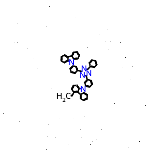 C=Cc1cccc2c1c1ccccc1n2-c1cccc(-c2nc(-c3ccccc3)nc(-c3cccc(-n4c5ccccc5c5ccccc54)c3)n2)c1